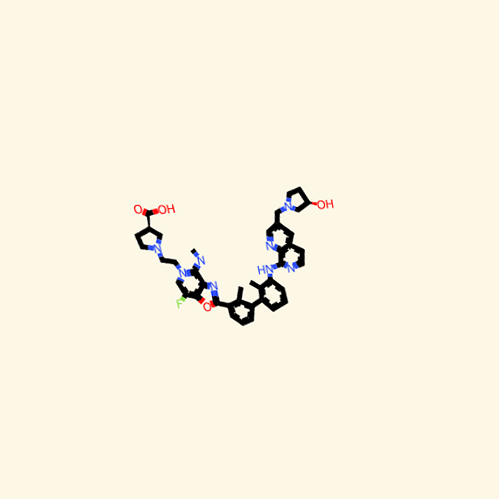 C/N=c1/c2nc(-c3cccc(-c4cccc(Nc5nccc6cc(CN7CC[C@@H](O)C7)cnc56)c4C)c3C)oc2c(F)cn1CCN1CC[C@@H](C(=O)O)C1